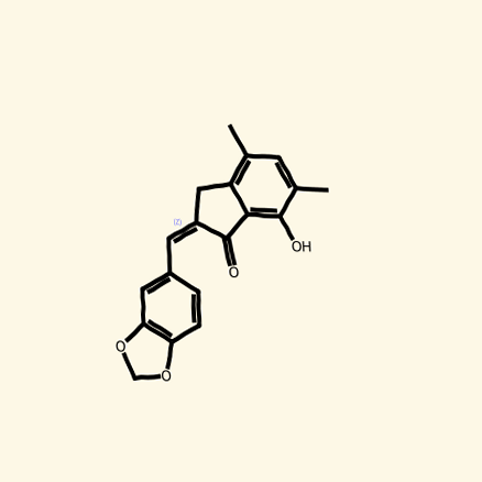 Cc1cc(C)c2c(c1O)C(=O)/C(=C\c1ccc3c(c1)OCO3)C2